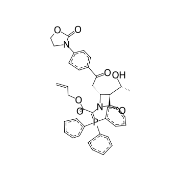 C=CCOC(=O)C(N1C(=O)[C@H]([C@@H](C)O)[C@H]1CC(=O)c1ccc(N2CCOC2=O)cc1)=P(c1ccccc1)(c1ccccc1)c1ccccc1